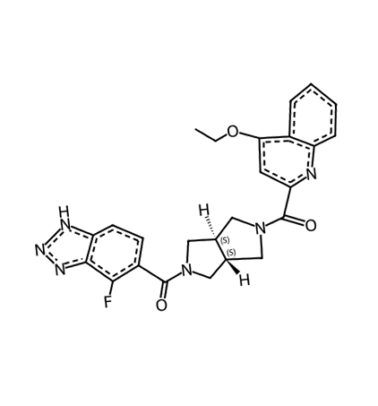 CCOc1cc(C(=O)N2C[C@@H]3CN(C(=O)c4ccc5[nH]nnc5c4F)C[C@H]3C2)nc2ccccc12